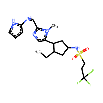 CCC1CC(NS(=O)(=O)CCC(F)(F)F)CC1c1cnc(/C=N\c2ccc[nH]2)n1C